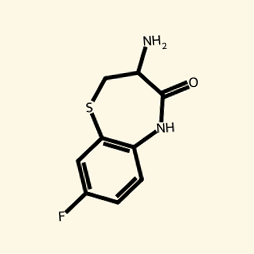 NC1CSc2cc(F)ccc2NC1=O